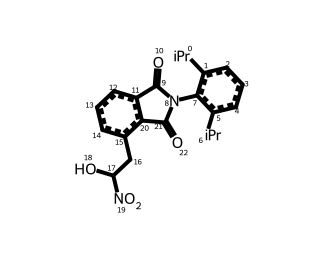 CC(C)c1cccc(C(C)C)c1N1C(=O)c2cccc(CC(O)[N+](=O)[O-])c2C1=O